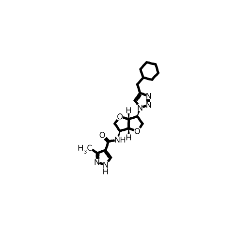 Cc1n[nH]cc1C(=O)N[C@H]1CO[C@H]2[C@@H]1OC[C@@H]2n1cc(CC2CCCCC2)nn1